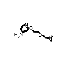 CN(C)CCOCCOc1cc(N)ccn1